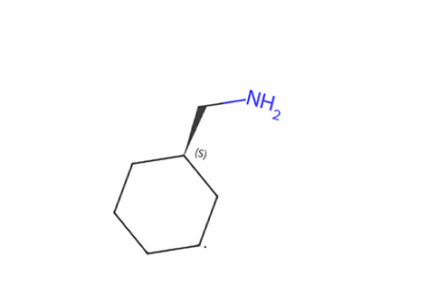 NC[C@H]1C[CH]CCC1